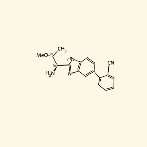 CO[C@H](C)[C@H](N)c1nc2cc(-c3ccccc3C#N)ccc2[nH]1